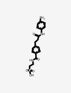 Bc1ccc(NC(=O)CCc2ccc(C(=O)NCCS(=O)(=O)O)cc2)cc1